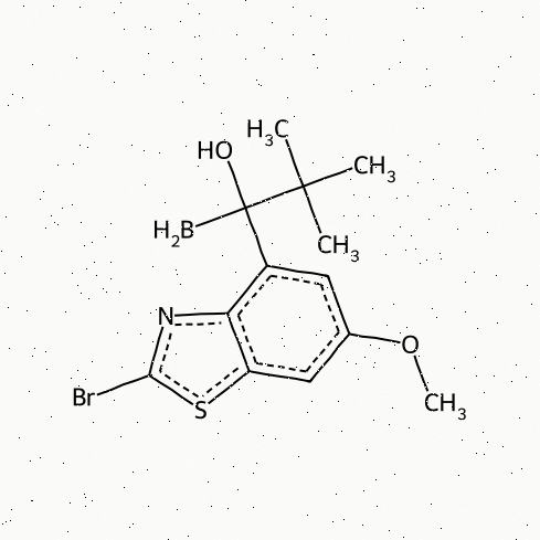 BC(O)(c1cc(OC)cc2sc(Br)nc12)C(C)(C)C